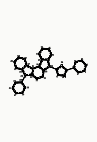 c1ccc(-c2ncc(-n3c4ccccc4c4c5c6ccccc6n(-c6ccccc6)c5ccc43)o2)cc1